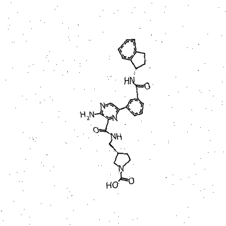 Nc1ncc(-c2cccc(C(=O)N[C@H]3CCc4ccccc43)c2)nc1C(=O)NC[C@H]1CCN(C(=O)O)C1